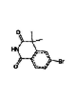 CC1(C)C(=O)NC(=O)c2ccc(Br)cc21